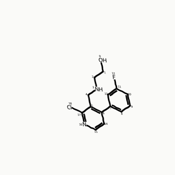 OCCNCc1c(-c2cccc(F)c2)ccnc1Cl